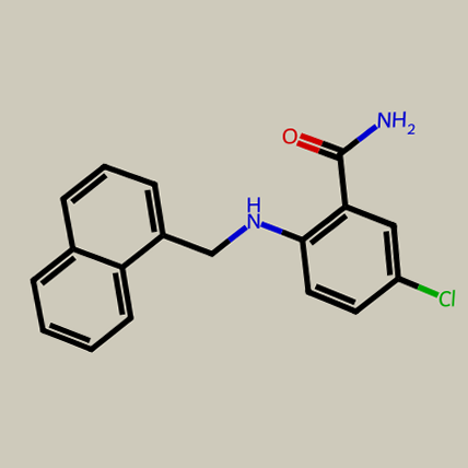 NC(=O)c1cc(Cl)ccc1NCc1cccc2ccccc12